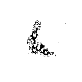 CC(=O)C1(CNc2ncnc(N(Cc3ccc(C(F)(F)F)cc3)C3CC3)c2F)CCN(C(=O)OC(C)(C)C)CC1